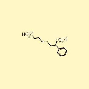 O=C(O)CCCCCC(C(=O)O)c1ccccc1